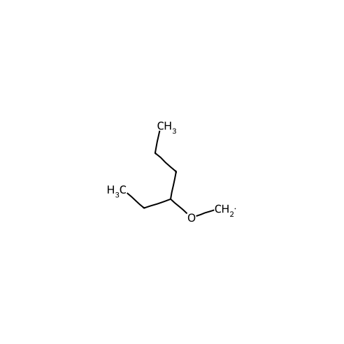 [CH2]OC(CC)CCC